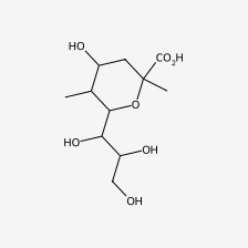 CC1C(O)CC(C)(C(=O)O)OC1C(O)C(O)CO